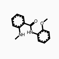 CNc1ccccc1C(=O)Nc1ccccc1OC